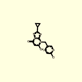 Cc1cc(=O)n2nc(C3CC3)nc2n1Cc1ccc(Cl)nc1